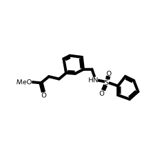 COC(=O)CCc1cccc(CNS(=O)(=O)c2ccccc2)c1